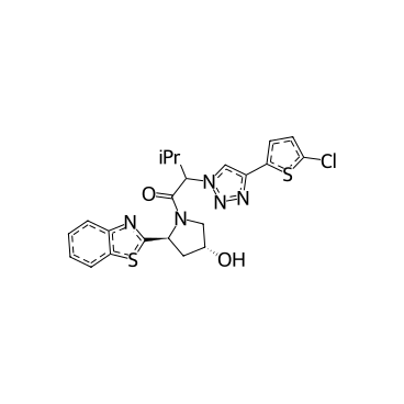 CC(C)C(C(=O)N1C[C@H](O)C[C@H]1c1nc2ccccc2s1)n1cc(-c2ccc(Cl)s2)nn1